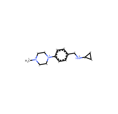 CN1CCN(c2ccc(CNC3CC3)cc2)CC1